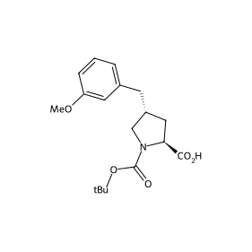 COc1cccc(C[C@@H]2C[C@@H](C(=O)O)N(C(=O)OC(C)(C)C)C2)c1